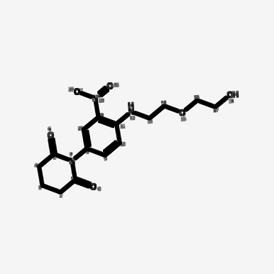 O=C1CCCC(=O)N1c1ccc(NCCOCCO)c([N+](=O)[O-])c1